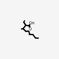 CCCCCCC(C)C(CC)C(=O)O